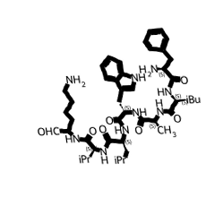 CC[C@H](C)[C@H](NC(=O)[C@@H](N)Cc1ccccc1)C(=O)N[C@@H](C)C(=O)N[C@@H](Cc1c[nH]c2ccccc12)C(=O)N[C@@H](CC(C)C)C(=O)N[C@H](C(=O)N[C](C=O)CCCCN)C(C)C